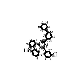 Clc1cccc(-c2nc(-c3cccc(-c4ccccc4)c3)nc(-c3cccc4[nH]c5ccccc5c34)n2)c1